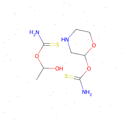 CC(O)OC(N)=S.NC(=S)OC1CNCCO1